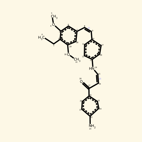 CCc1c(OC)cc(/C=C\c2ccc(N/C=C\C(=O)c3ccc(N)cc3)cc2)cc1OC